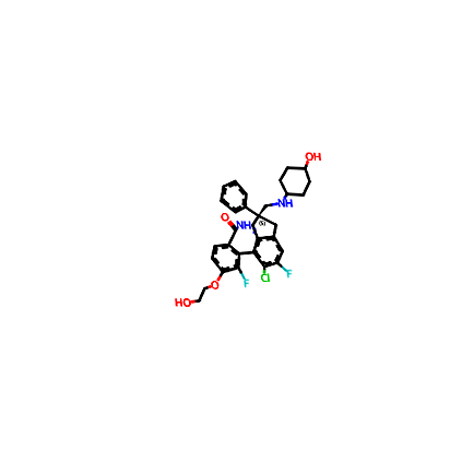 NC(=O)c1ccc(OCCO)c(F)c1-c1c(Cl)c(F)cc2c1C[C@](CNC1CCC(O)CC1)(c1ccccc1)C2